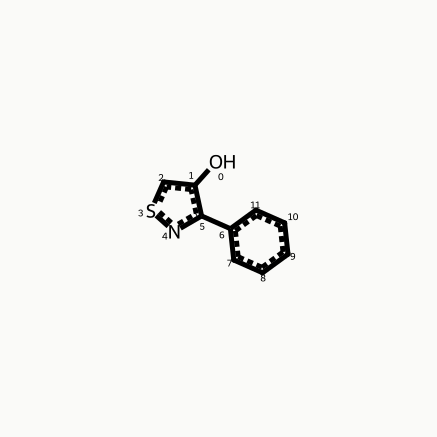 Oc1csnc1-c1ccccc1